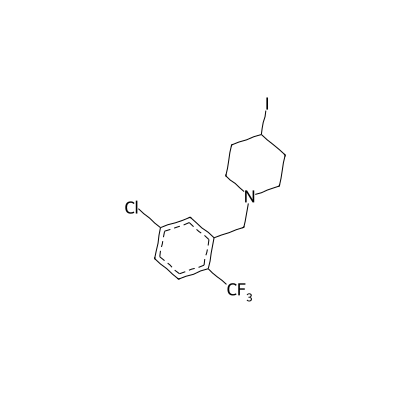 FC(F)(F)c1ccc(Cl)cc1CN1CCC(I)CC1